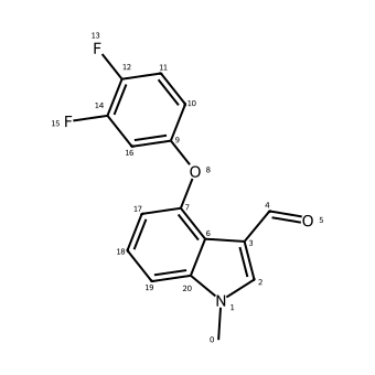 Cn1cc(C=O)c2c(Oc3ccc(F)c(F)c3)cccc21